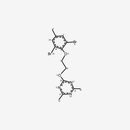 Cc1cc(Br)c(OCCOc2nc(C)nc(C)n2)c(Br)c1